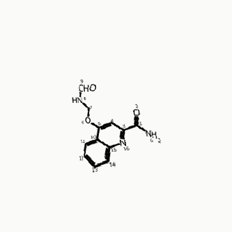 NC(=O)c1cc(OCNC=O)c2ccccc2n1